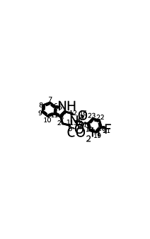 O=C(O)C1Cc2c([nH]c3ccccc23)CN1S(=O)(=O)c1ccc(F)cc1